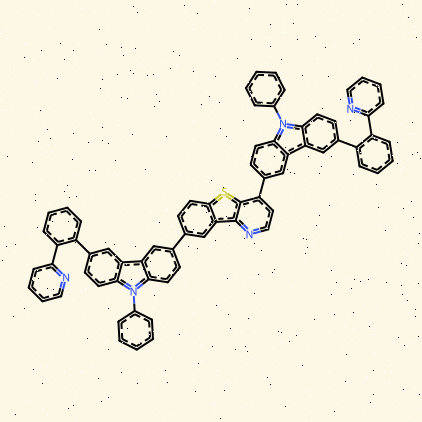 c1ccc(-n2c3ccc(-c4ccc5sc6c(-c7ccc8c(c7)c7cc(-c9ccccc9-c9ccccn9)ccc7n8-c7ccccc7)ccnc6c5c4)cc3c3cc(-c4ccccc4-c4ccccn4)ccc32)cc1